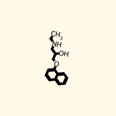 C[CH]NCC(O)COc1cccc2ccccc12